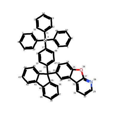 c1ccc([Si](c2ccccc2)(c2ccccc2)c2ccc(C3(c4ccc5oc6ncccc6c5c4)c4ccccc4-c4ccccc43)cc2)cc1